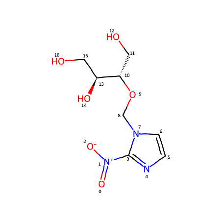 O=[N+]([O-])c1nccn1CO[C@@H](CO)[C@@H](O)CO